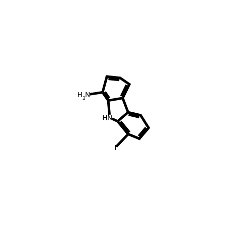 Nc1cccc2c1[nH]c1c(I)cccc12